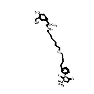 CS(=O)(=O)N1CC(=O)N(c2cccc(CCCCOCCCCCCNC[C@@H](O)c3ccc(O)c(CO)c3)c2)C1=O